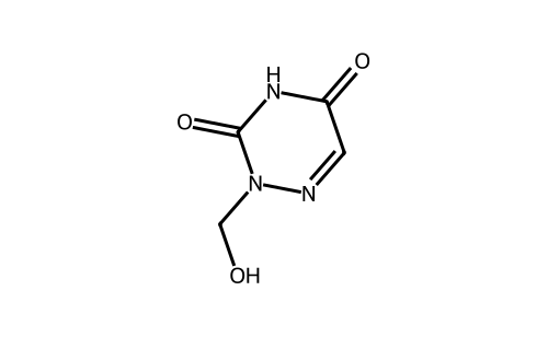 O=c1cnn(CO)c(=O)[nH]1